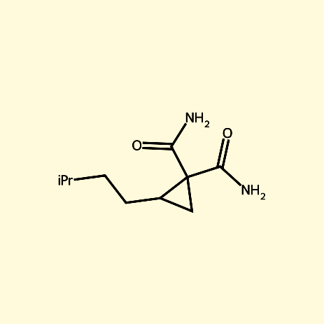 CC(C)CCC1CC1(C(N)=O)C(N)=O